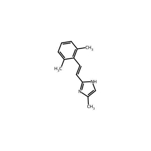 Cc1c[nH]c(C=Cc2c(C)cccc2C)n1